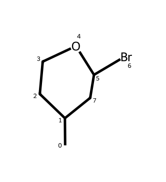 CC1CCOC(Br)C1